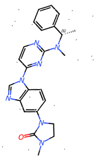 C[C@@H](c1ccccc1)N(C)c1nccc(-n2cnc3cc(N4CCN(C)C4=O)ccc32)n1